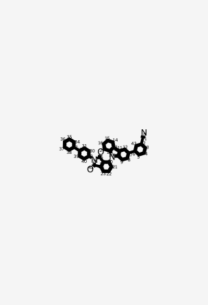 N#Cc1cccc(-c2ccc3c(c2)c2ccccc2n3-c2cccc3c2C(=O)N(c2ccc(-c4ccccc4)cc2)C3=O)c1